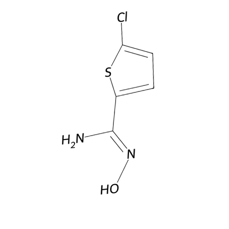 N/C(=N\O)c1ccc(Cl)s1